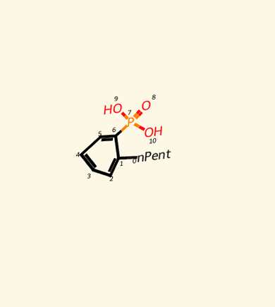 CCCCCc1ccccc1P(=O)(O)O